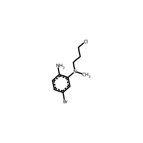 CN(CCCCl)c1cc(Br)ccc1N